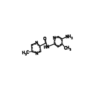 Cc1cnc(C(=O)Nc2cc(C)c(N)cn2)cn1